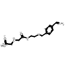 C=Cc1ccc(CSCCOC(=O)COCC(=O)O)cc1